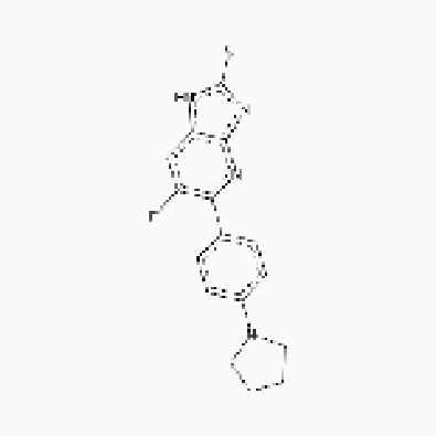 Fc1cc2[nH]c(Cl)nc2nc1-c1ccc(N2CCCC2)cc1